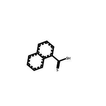 S=C(S)c1cccc2ccccc12